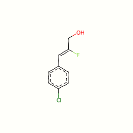 OCC(F)=Cc1ccc(Cl)cc1